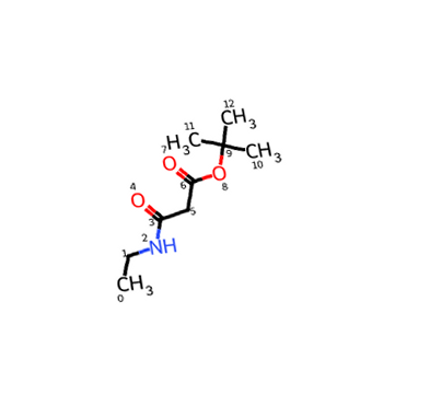 CCNC(=O)CC(=O)OC(C)(C)C